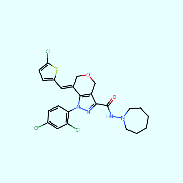 O=C(NN1CCCCCC1)c1nn(-c2ccc(Cl)cc2Cl)c2c1COC/C2=C\c1ccc(Cl)s1